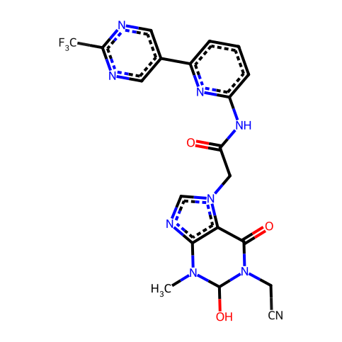 CN1c2ncn(CC(=O)Nc3cccc(-c4cnc(C(F)(F)F)nc4)n3)c2C(=O)N(CC#N)C1O